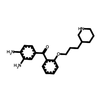 Nc1ccc(C(=O)c2ccccc2OCCCC2CCCNC2)cc1N